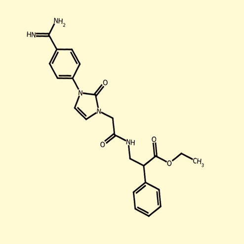 CCOC(=O)C(CNC(=O)Cn1ccn(-c2ccc(C(=N)N)cc2)c1=O)c1ccccc1